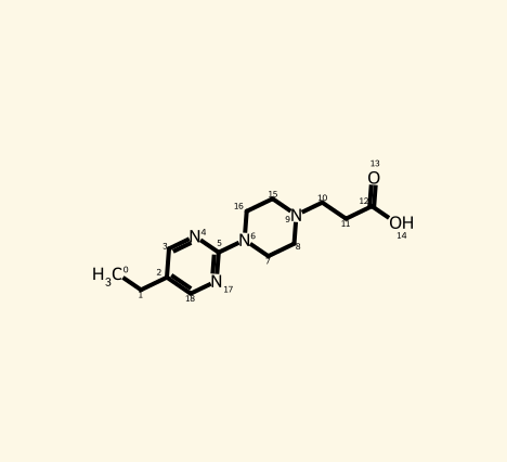 CCc1cnc(N2CCN(CCC(=O)O)CC2)nc1